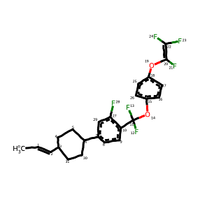 C/C=C/C1CCC(c2ccc(C(F)(F)Oc3ccc(OC(F)=C(F)F)cc3)c(F)c2)CC1